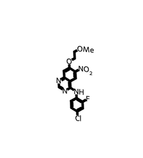 COCCOc1cc2ncnc(Nc3ccc(Cl)cc3F)c2cc1[N+](=O)[O-]